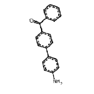 Nc1ccc(-c2ccc(C(=O)c3ccccc3)cc2)cc1